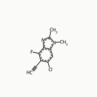 C#Cc1c(Cl)cc2c(nc(C)n2C)c1F